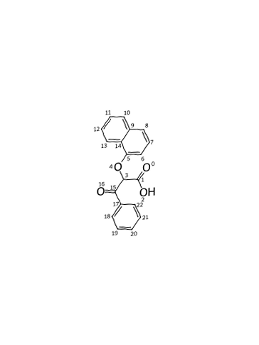 O=C(O)C(Oc1cccc2ccccc12)C(=O)c1ccccc1